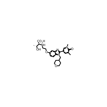 Cc1cc(-c2nc3cc(OCCN[C@H](C(=O)O)[C@@H](C)O)ccc3n2CC2CCOCC2)cn(C)c1=O